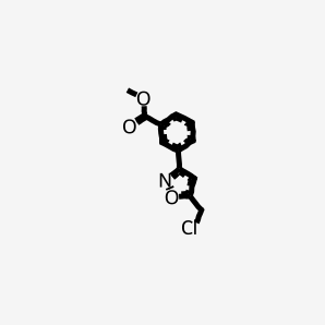 COC(=O)c1cccc(-c2cc(CCl)on2)c1